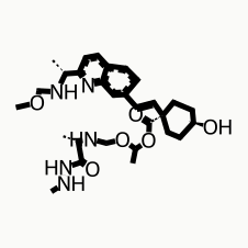 CNNC(=O)[C@H](C)NCOC(C)OC(=O)[C@]1(/C=C/c2ccc3ccc([C@@H](C)NCOC)nc3c2)CC[C@@H](O)CC1